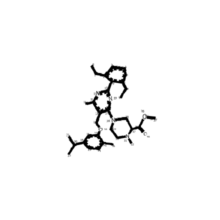 CCc1cccc(CC)c1-c1nc(C)c(COc2cc(C(C)C)ccc2C)c(N2CCN(C)C(C(=O)OC)C2)n1